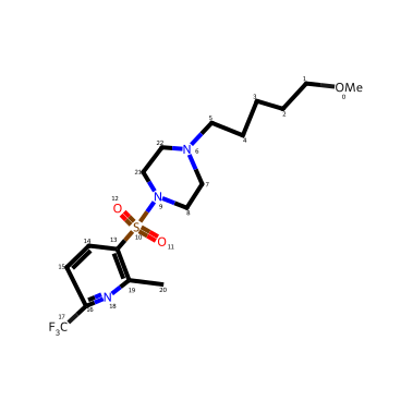 COCCCCCN1CCN(S(=O)(=O)c2ccc(C(F)(F)F)nc2C)CC1